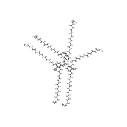 CCCCCCCCCCCCCCCCc1ccc(OP(Oc2ccc(CCCCCCCCCCCCCCCC)c(O)c2CCCCCCCCCCCCCCCC)Oc2ccc(CCCCCCCCCCCCCCCC)c(O)c2CCCCCCCCCCCCCCCC)c(CCCCCCCCCCCCCCCC)c1O